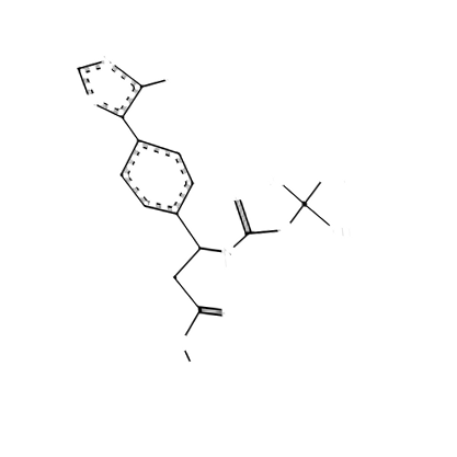 COC(=O)CC(NC(=O)OC(C)(C)C)c1ccc(-c2scnc2C)cc1